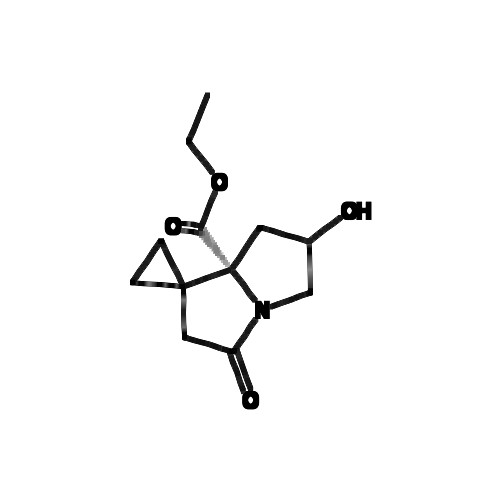 CCOC(=O)[C@]12CC(O)CN1C(=O)CC21CC1